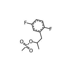 CC(Cc1cc(F)ccc1F)OS(C)(=O)=O